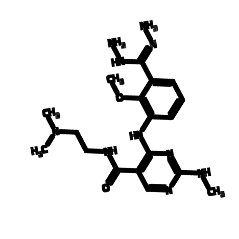 CNc1ncc(C(=O)NCCN(C)C)c(Nc2cccc(/C(=N/N)NN)c2OC)n1